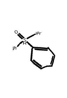 CC(C)[SH](=O)(c1ccccc1)C(C)C